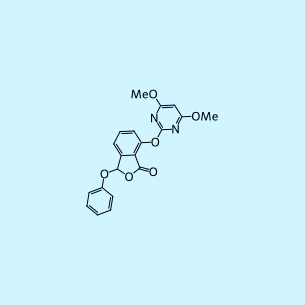 COc1cc(OC)nc(Oc2cccc3c2C(=O)OC3Oc2ccccc2)n1